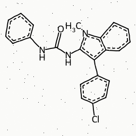 Cn1c(NC(=O)Nc2ccccc2)c(-c2ccc(Cl)cc2)c2ccccc21